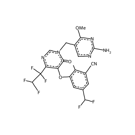 COc1nc(N)ncc1Cn1cnc(C(F)(F)C(F)F)c(Oc2cc(C(F)F)cc(C#N)c2C)c1=O